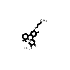 COCCCOc1cc2c(cc1C)-c1cc(=O)c(C(=O)O)cn1C1C2CCCC1(C)C